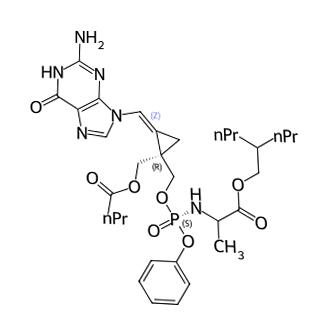 CCCC(=O)OC[C@@]1(CO[P@@](=O)(NC(C)C(=O)OCC(CCC)CCC)Oc2ccccc2)C/C1=C/n1cnc2c(=O)[nH]c(N)nc21